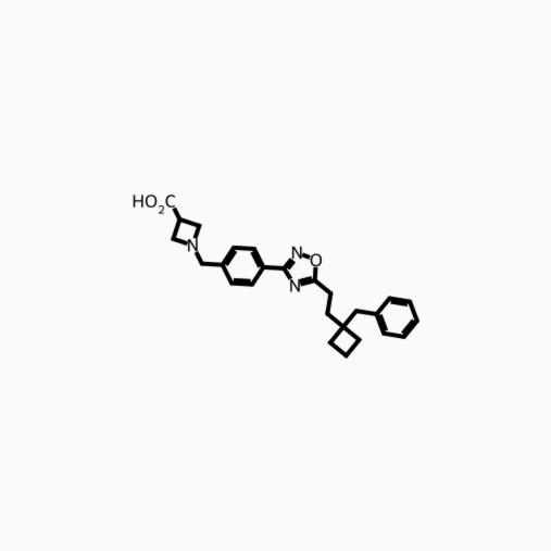 O=C(O)C1CN(Cc2ccc(-c3noc(CCC4(Cc5ccccc5)CCC4)n3)cc2)C1